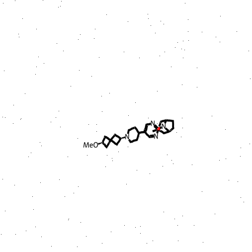 CO[C@H]1CC2(C1)C[C@H](N1CCC(c3cnc(N4C5CCC4CN(C)C5)nc3)CC1)C2